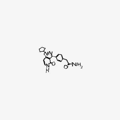 NC(=O)Cc1ccc(-c2nn(C3CCCC3)c3cc[nH]c(=O)c23)cc1